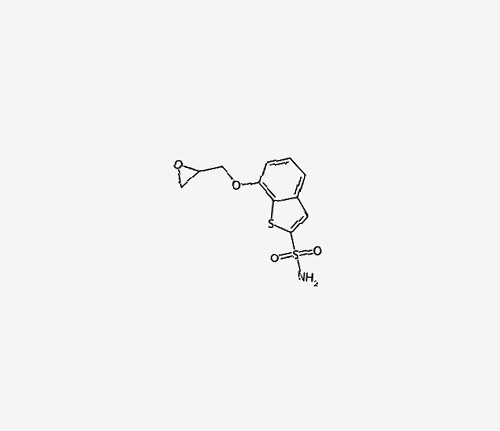 NS(=O)(=O)c1cc2cccc(OCC3CO3)c2s1